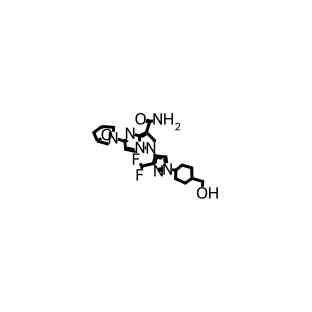 NC(=O)C1=C2N=C(N3CC4CC(C3)O4)C=CN2N(c2cn(C3CCC(CO)CC3)nc2C(F)F)C1